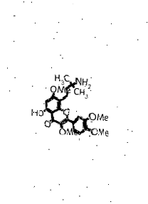 COc1ccc(-c2oc3c(CCC(C)(C)N)c(OC)cc(O)c3c(=O)c2OC)cc1OC